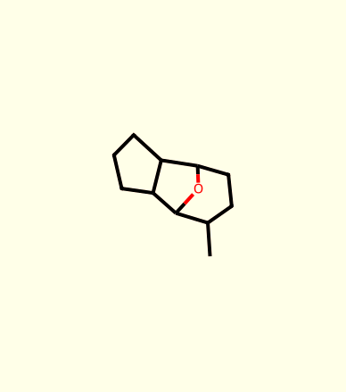 CC1CCC2OC1C1CCCC21